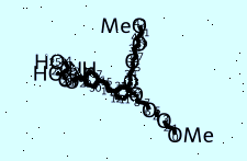 COCCOCCOCCOc1ccc(C=Cc2ccc(C(=O)NC(CO)C(O)O)cc2)cc1OCCOCCOCCOC